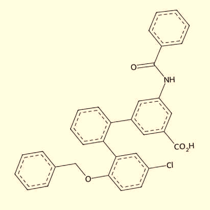 O=C(O)c1cc(NC(=O)c2ccccc2)cc(-c2ccccc2-c2cc(Cl)ccc2OCc2ccccc2)c1